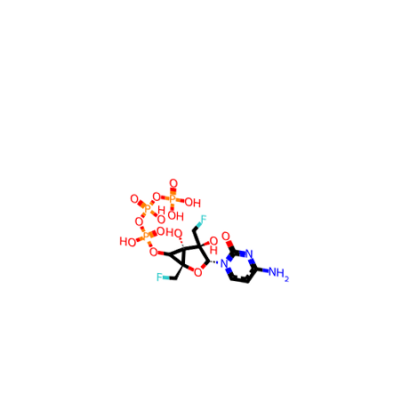 Nc1ccn([C@@H]2O[C@]3(CF)C(OP(=O)(O)OP(=O)(O)OP(=O)(O)O)[C@@]3(O)[C@]2(O)CF)c(=O)n1